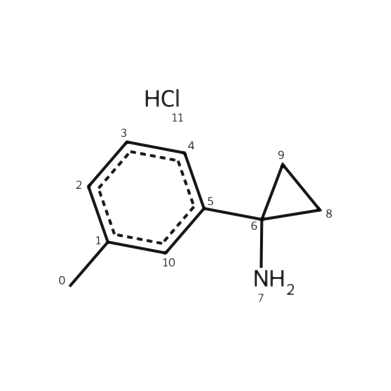 Cc1cccc(C2(N)CC2)c1.Cl